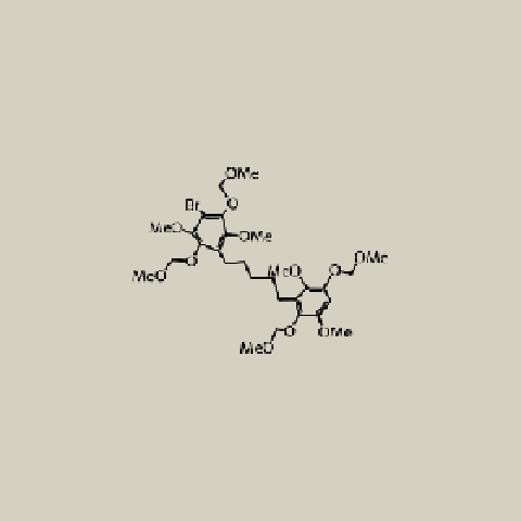 COCOc1cc(OC)c(OCOC)c(CCCCCc2c(OC)c(OCOC)c(Br)c(OC)c2OCOC)c1OC